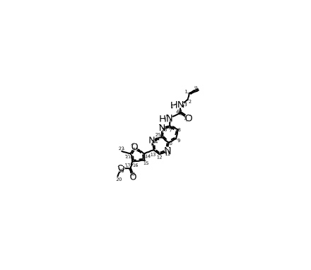 C=CCNC(=O)Nc1ccc2ncc(-c3cc(C(=O)OC)c(C)o3)nc2n1